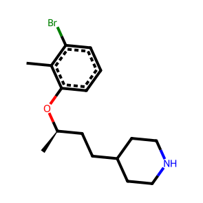 Cc1c(Br)cccc1O[C@H](C)CCC1CCNCC1